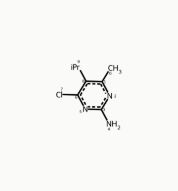 Cc1nc(N)nc(Cl)c1C(C)C